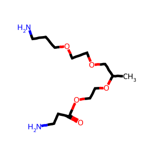 CC(COCCOCCCN)OCCOC(=O)CCN